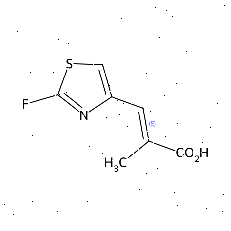 C/C(=C\c1csc(F)n1)C(=O)O